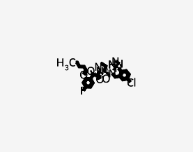 CCCCC(=O)O[C@@H](C(=O)N1N=CC[C@H]1C(=O)NCc1cc(Cl)ccc1-n1cnnn1)c1ccc(F)cc1